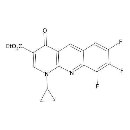 CCOC(=O)c1cn(C2CC2)c2nc3c(F)c(F)c(F)cc3cc2c1=O